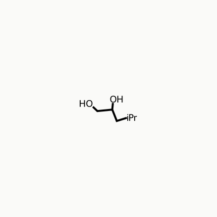 [CH2]C(C)CC(O)CO